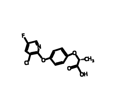 C[C@@H](Oc1ccc(Oc2ncc(F)cc2Cl)cc1)C(=O)O